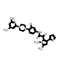 Cc1cc(C)nc(N2CCN(c3ccc(NC(=O)C(=O)c4c(-c5cccs5)cc(C)n4C)cc3Cl)CC2)c1